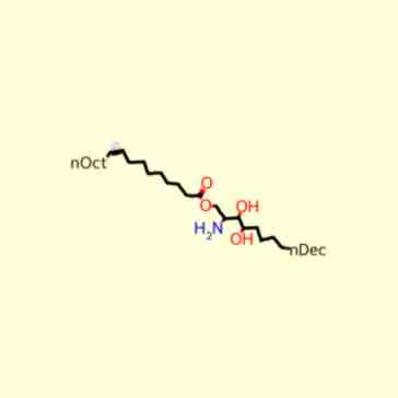 CCCCCCCC/C=C\CCCCCCCC(=O)OCC(N)C(O)C(O)CCCCCCCCCCCCCC